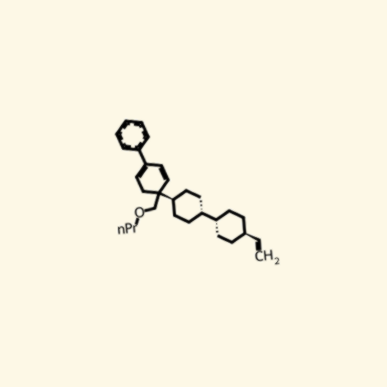 C=C[C@H]1CC[C@H]([C@H]2CC[C@H](C3(COCCC)C=CC(c4ccccc4)=CC3)CC2)CC1